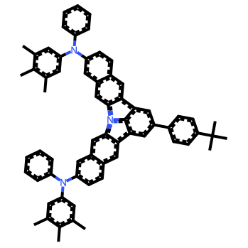 Cc1cc(N(c2ccccc2)c2ccc3cc4c5cc(-c6ccc(C(C)(C)C)cc6)cc6c7cc8ccc(N(c9ccccc9)c9cc(C)c(C)c(C)c9)cc8cc7n(c4cc3c2)c56)cc(C)c1C